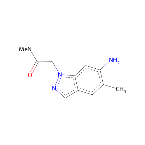 CNC(=O)Cn1ncc2cc(C)c(N)cc21